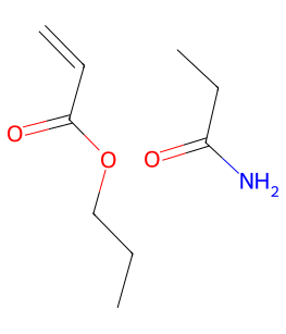 C=CC(=O)OCCC.CCC(N)=O